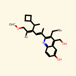 CCC(C)Cc1c(/C(C)=C/C(=C(/COC=O)C(C)=O)C(C)C2CCC2)nc2ccc(O)cc2c1CO